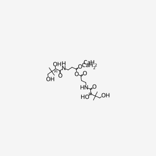 CC(C)(CO)[C@@H](O)C(=O)NCCC(=O)OC(=O)CCNC(=O)[C@H](O)C(C)(C)CO.[CaH2].[CaH2]